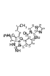 C=C(/C=C\C=C/C)[C@@]1(CCC(C)C)NC(=N)N(Cc2ccc(C(C)(C)C)c(C(=O)N3CCn4ccnc4C3)c2)C1=O